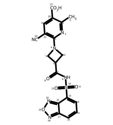 Cc1nc(N2CC(C(=O)NS(=O)(=O)c3cccc4nonc34)C2)c(C#N)cc1C(=O)O